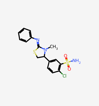 CN1C(=Nc2ccccc2)SCC1c1ccc(Cl)c(S(N)(=O)=O)c1